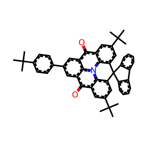 CC(C)(C)c1ccc(-c2cc3c(=O)c4cc(C(C)(C)C)cc5c4n4c6c(cc(C(C)(C)C)cc6c(=O)c(c2)c34)C52c3ccccc3-c3ccccc32)cc1